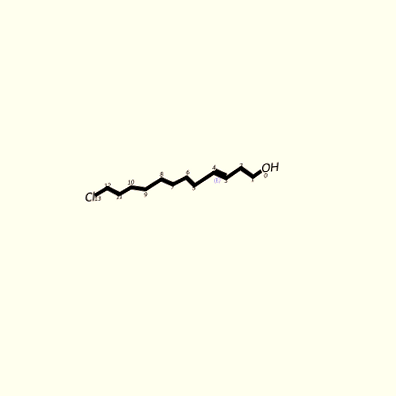 OCC/C=C/CCCCCCCCCl